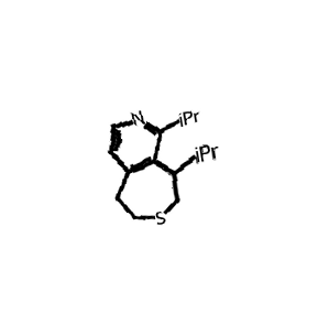 CC(C)c1nccc2c1C(C(C)C)CSCC2